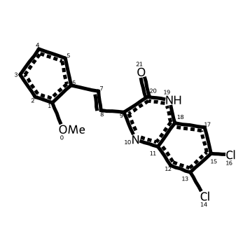 COc1ccccc1C=Cc1nc2cc(Cl)c(Cl)cc2[nH]c1=O